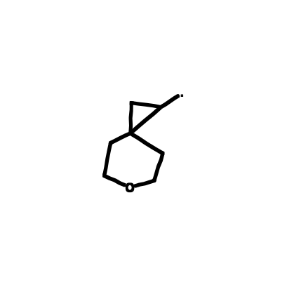 [CH2]C1CC12CCOCC2